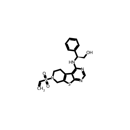 C=CS(=O)(=O)N1CCc2c(sc3ncnc(N[C@H](CO)c4ccccc4)c23)C1